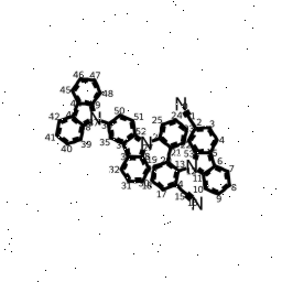 N#Cc1ccc2c3ccccc3n(-c3c(C#N)cccc3-c3ccccc3-n3c4ccccc4c4cc(-n5c6ccccc6c6ccccc65)ccc43)c2c1